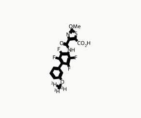 [2H]C([2H])([2H])Oc1cccc(-c2c(F)c(F)c(NC(=O)c3nc(OC)sc3C(=O)O)c(F)c2F)c1